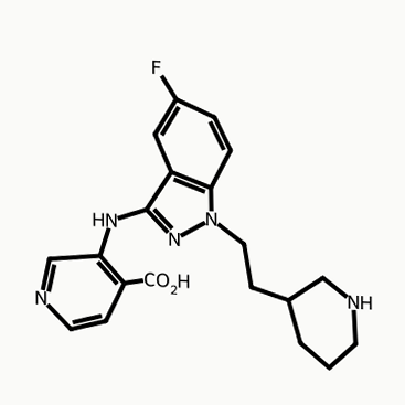 O=C(O)c1ccncc1Nc1nn(CCC2CCCNC2)c2ccc(F)cc12